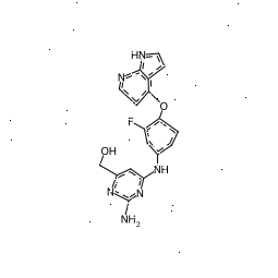 Nc1nc(CO)cc(Nc2ccc(Oc3ccnc4[nH]ccc34)c(F)c2)n1